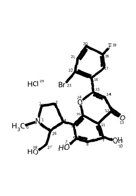 CN1CCC(c2c(O)cc(O)c3c(=O)cc(-c4cc(F)ccc4Br)oc23)C1CO.Cl